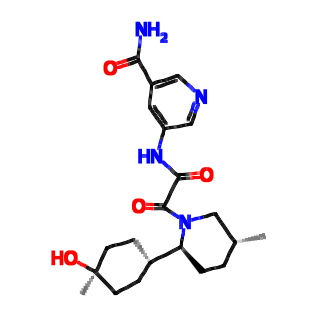 C[C@@H]1CC[C@@H]([C@H]2CC[C@](C)(O)CC2)N(C(=O)C(=O)Nc2cncc(C(N)=O)c2)C1